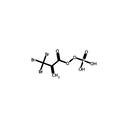 C=C(C(=O)OOP(=O)(O)O)C(Br)(Br)Br